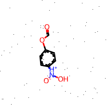 O=COc1ccc([NH+]([O-])O)cc1